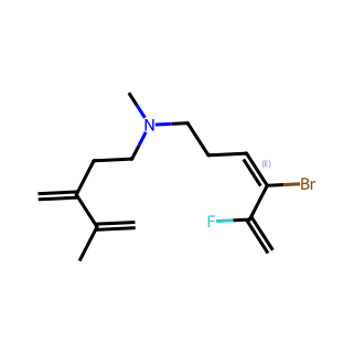 C=C(C)C(=C)CCN(C)CC/C=C(/Br)C(=C)F